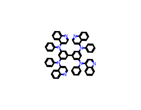 c1ccc(N(c2cc(-c3cc(N(c4ccccc4)c4ccnc5ccccc45)cc(N(c4ccccc4)c4ccnc5ccccc45)c3)cc(N(c3ccccc3)c3ccnc4ccccc34)c2)c2ccnc3ccccc23)cc1